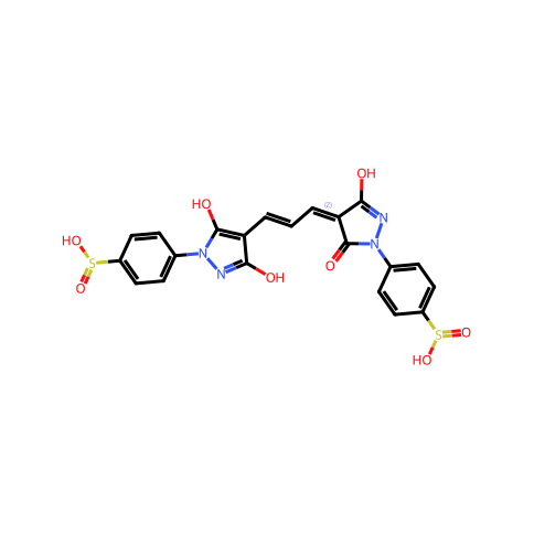 O=C1/C(=C\C=Cc2c(O)nn(-c3ccc(S(=O)O)cc3)c2O)C(O)=NN1c1ccc(S(=O)O)cc1